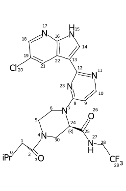 CC(C)CC(=O)N1CCN(c2ccnc(-c3c[nH]c4ncc(Cl)cc34)n2)[C@@H](C(=O)NCC(F)(F)F)C1